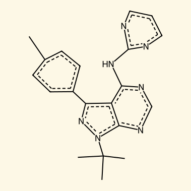 Cc1ccc(-c2nn(C(C)(C)C)c3ncnc(Nc4ncccn4)c23)cc1